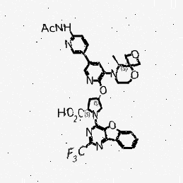 CC(=O)Nc1ccc(-c2cnc(O[C@H]3C[C@@H](C(=O)O)N(c4nc(C(F)(F)F)nc5c4oc4ccccc45)C3)c(N3CCOC4(COC4)[C@@H]3C)c2)cn1